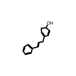 OC1C=CC(CC=Cc2ccccc2)=CC1